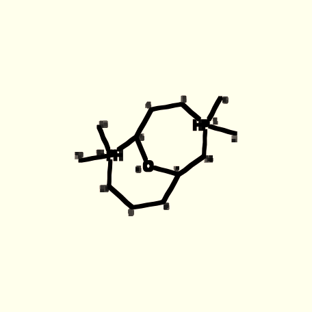 C[PH]1(C)CCC2OC(CCC[PH]2(C)C)C1